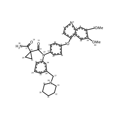 COc1cc2nccc(Oc3ccc(N(C(=O)C4(C(N)=O)CC4)c4cccc(CN5CCCCC5)c4)cc3)c2cc1OC